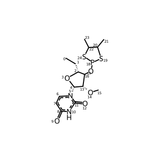 CC[C@H]1O[C@@H](n2ccc(=O)[nH]c2=O)[C@@H](OC)C1OP1SC(C)C(C)S1